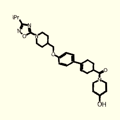 CC(C)c1noc(N2CCC(COc3ccc(C4=CCC(C(=O)N5CCC(O)CC5)CC4)cc3)CC2)n1